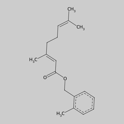 CC(C)=CCC/C(C)=C/C(=O)OCc1ccccc1C